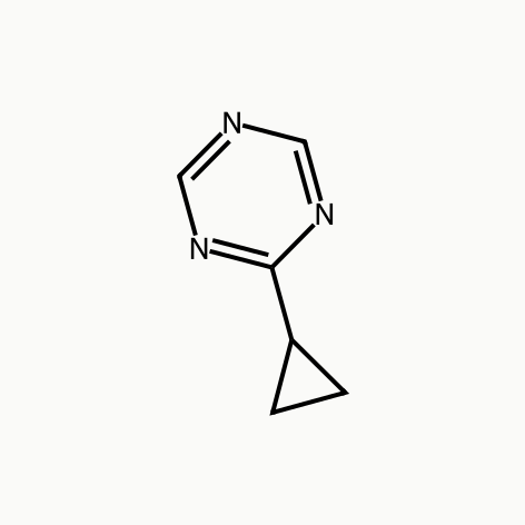 c1ncnc(C2CC2)n1